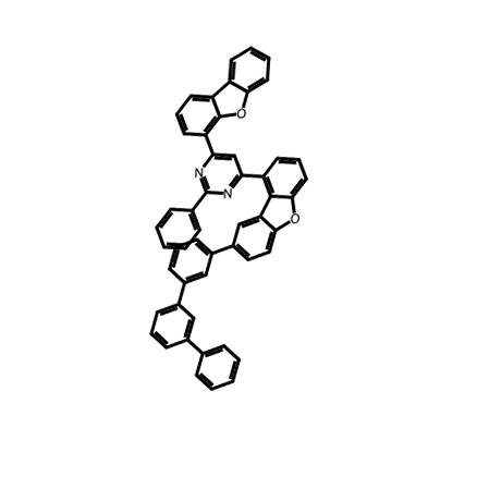 c1ccc(-c2cccc(-c3cccc(-c4ccc5oc6cccc(-c7cc(-c8cccc9c8oc8ccccc89)nc(-c8ccccc8)n7)c6c5c4)c3)c2)cc1